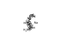 C=C(CN1CC[C@@H](N2CCC(=CC3=C(C(=O)O)N4C(=O)[C@@H](NC(=O)C(=NO)c5nsc(N)n5)[C@H]4SC3)C2=O)C1)C(=O)OCC.[Na]